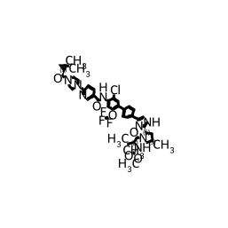 COC(=O)N[C@H](C(=O)N1C[C@@H](C)C[C@H]1c1nc(-c2ccc(-c3cc(Cl)c(NC(=O)c4ccc(N5CCN(C(=O)[C@H]6CC6(C)C)CC5)nc4)cc3OC(F)(F)F)cc2)c[nH]1)C(C)C